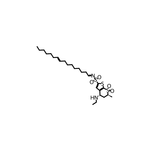 CCCCCC/C=C/CCCCCCC/C=N/S(=O)(=O)c1cc2c(s1)S(=O)(=O)[C@@H](C)C[C@@H]2NCC